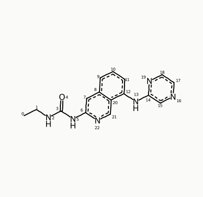 CCNC(=O)Nc1cc2cccc(Nc3cnccn3)c2cn1